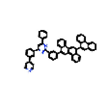 c1ccc(-c2cc(-c3cccc(-c4ccncc4)c3)nc(-c3cccc(-c4cc5c6ccccc6c(-c6cc7ccccc7c7ccccc67)cc5c5ccccc45)c3)n2)cc1